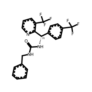 O=C(NCc1ccccc1)N[C@@H](c1ccc(C(F)(F)F)cc1)c1ncccc1C(F)(F)F